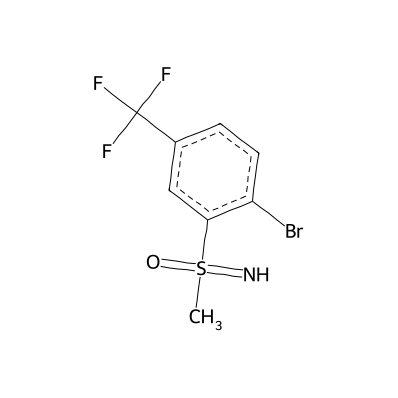 CS(=N)(=O)c1cc(C(F)(F)F)ccc1Br